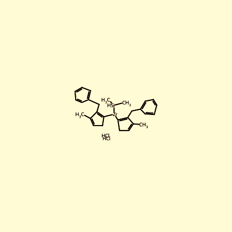 CC1=CC[C]([Zr]([C]2=C(Cc3ccccc3)C(C)=CC2)[SiH](C)C)=C1Cc1ccccc1.Cl.Cl